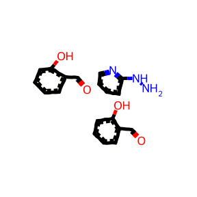 NNc1ccccn1.O=Cc1ccccc1O.O=Cc1ccccc1O